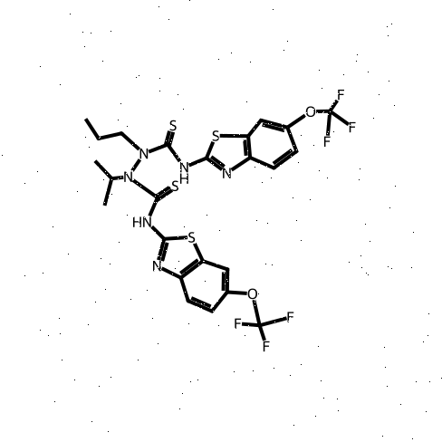 CCCN(C(=S)Nc1nc2ccc(OC(F)(F)F)cc2s1)N(C(=S)Nc1nc2ccc(OC(F)(F)F)cc2s1)C(C)C